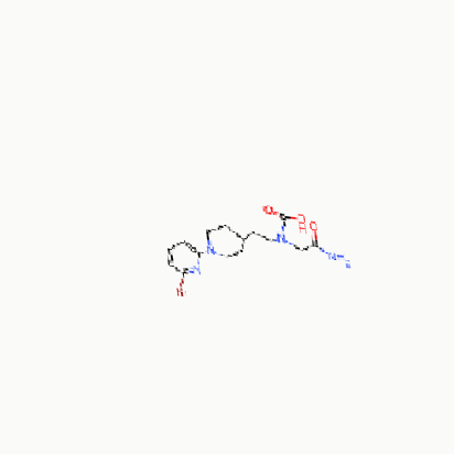 NC(=O)CN(CCC1CCN(c2cccc(Br)n2)CC1)C(=O)O